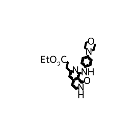 CCOC(=O)CCc1cc2cc[nH]c(=O)c2c(Nc2ccc(N3CCOCC3)cc2)n1